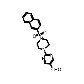 O=Cc1cnc(N2CCN(S(=O)(=O)c3ccc4ccccc4c3)CC2)nc1